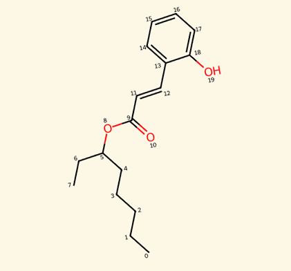 CCCCCC(CC)OC(=O)/C=C/c1ccccc1O